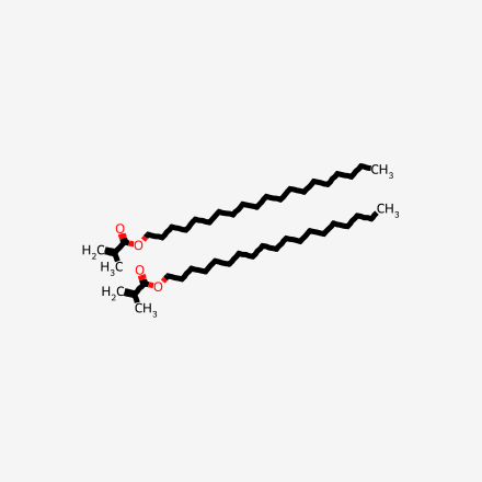 C=C(C)C(=O)OCCCCCCCCCCCCCCCCCCC.C=C(C)C(=O)OCCCCCCCCCCCCCCCCCCCC